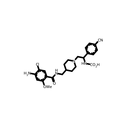 COc1cc(N)c(Cl)cc1C(=O)NCC1CCN(CC(NC(=O)O)c2ccc(C#N)cc2)CC1